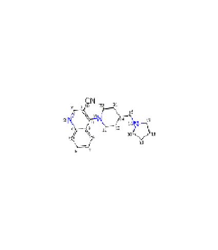 N#Cc1cnc2ccccc2c1N1CCC(CN2CCCC2)CC1